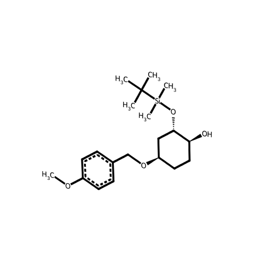 COc1ccc(CO[C@@H]2CC[C@H](O)[C@@H](O[Si](C)(C)C(C)(C)C)C2)cc1